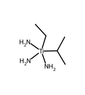 C[CH2][Ti]([NH2])([NH2])([NH2])[CH](C)C